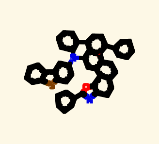 c1ccc(-c2ccc(-c3ccccc3N(c3ccc4sc5ccccc5c4c3)c3ccc4ccc5ccc6nc(-c7ccccc7)oc6c5c4c3)cc2)cc1